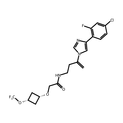 C=C(CCNC(=O)CO[C@H]1C[C@@H](OC(F)(F)F)C1)n1cnc(-c2ccc(Cl)cc2F)c1